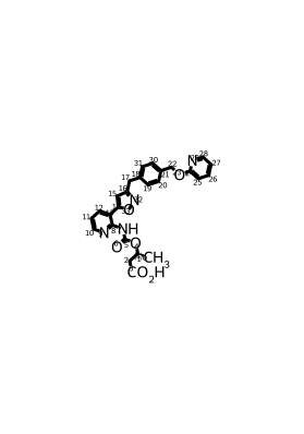 C[C@@H](CC(=O)O)OC(=O)Nc1ncccc1-c1cc(Cc2ccc(COc3ccccn3)cc2)no1